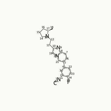 [C-]#[N+]c1cc(-c2ccc3nc(CCN4CCC[C@H]4C)cn3c2)ccc1F